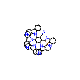 N#Cc1c(-c2nc3ccccc3s2)c(-n2c3ccccc3c3ccncc32)c(-n2c3ccccc3c3ccncc32)c(-n2c3ccccc3c3ccncc32)c1-n1c2ccccc2c2ccncc21